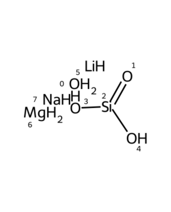 O.O=[Si](O)O.[LiH].[MgH2].[NaH]